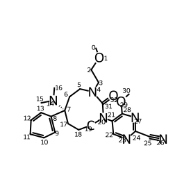 COCCN1CC[C@@](c2ccccc2)(N(C)C)CCCN(c2cnc(C#N)nc2OC)C1=O